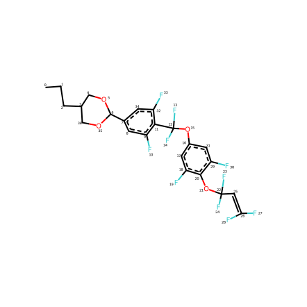 CCCC1COC(c2cc(F)c(C(F)(F)Oc3cc(F)c(OC(F)(F)C=C(F)F)c(F)c3)c(F)c2)OC1